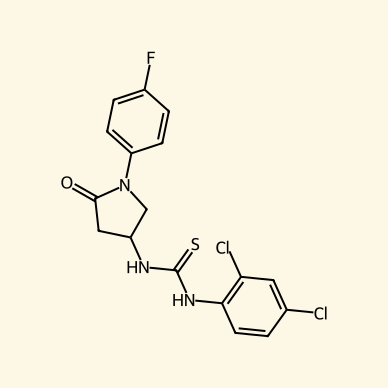 O=C1CC(NC(=S)Nc2ccc(Cl)cc2Cl)CN1c1ccc(F)cc1